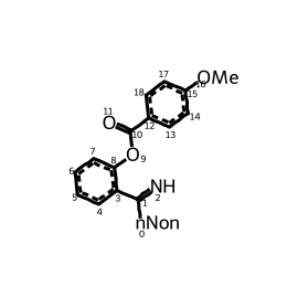 CCCCCCCCCC(=N)c1ccccc1OC(=O)c1ccc(OC)cc1